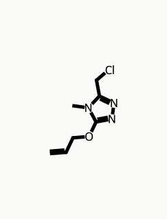 C=CCOc1nnc(CCl)n1C